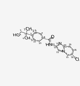 CC(C)(CO)c1ccc(C(=O)Nc2cn3cc(Cl)ccc3n2)cc1